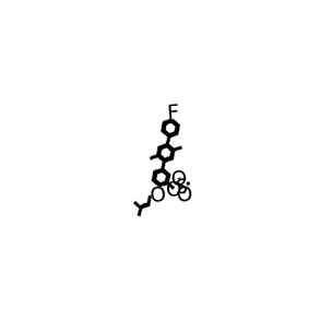 CC(C)=CCOc1ccc(-c2cc(C)c(-c3ccc(F)cc3)cc2C)cc1OS(C)(=O)=O